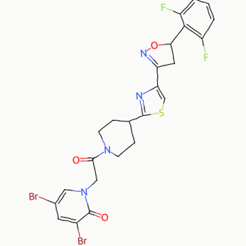 O=C(Cn1cc(Br)cc(Br)c1=O)N1CCC(c2nc(C3=NOC(c4c(F)cccc4F)C3)cs2)CC1